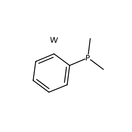 CP(C)c1ccccc1.[W]